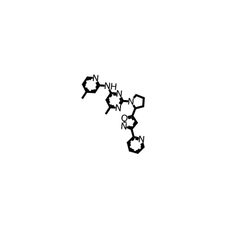 Cc1ccnc(Nc2cc(C)nc(N3CCCC3c3cc(-c4ccccn4)no3)n2)c1